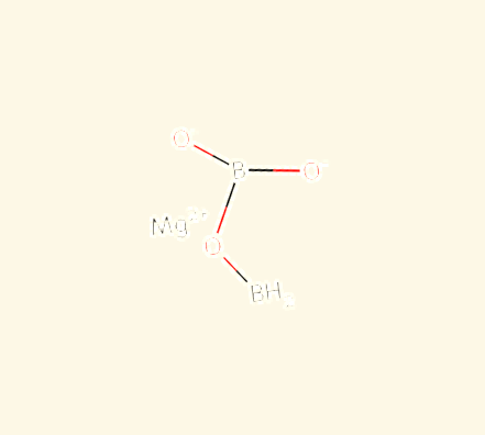 BOB([O-])[O-].[Mg+2]